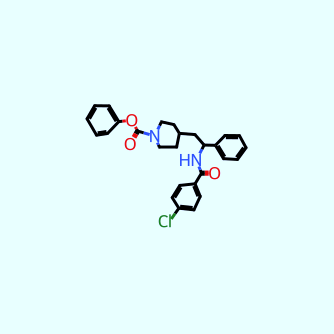 O=C(NC(CC1CCN(C(=O)Oc2ccccc2)CC1)c1ccccc1)c1ccc(Cl)cc1